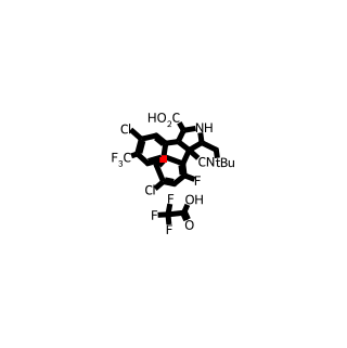 CC(C)(C)CC1NC(C(=O)O)C(c2ccc(C(F)(F)F)c(Cl)c2)C1(C#N)c1ccc(Cl)cc1F.O=C(O)C(F)(F)F